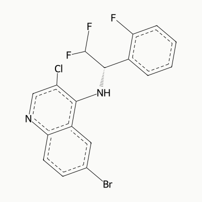 Fc1ccccc1[C@H](Nc1c(Cl)cnc2ccc(Br)cc12)C(F)F